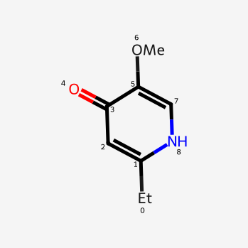 CCc1cc(=O)c(OC)c[nH]1